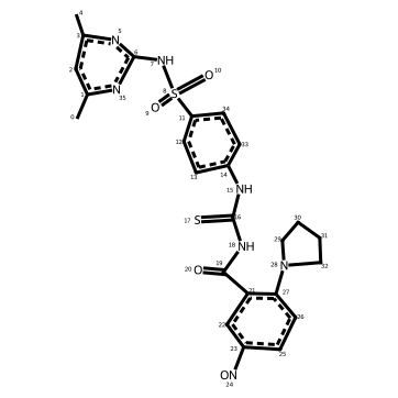 Cc1cc(C)nc(NS(=O)(=O)c2ccc(NC(=S)NC(=O)c3cc(N=O)ccc3N3CCCC3)cc2)n1